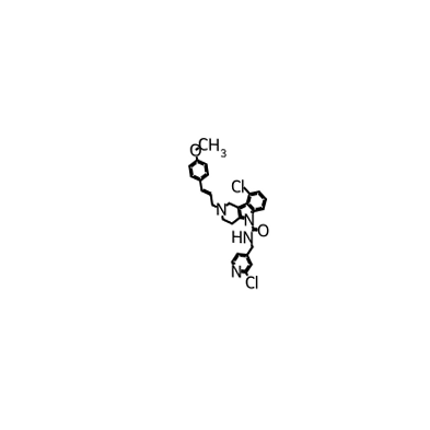 COc1ccc(C=CCN2CCc3c(c4c(Cl)cccc4n3C(=O)NCc3ccnc(Cl)c3)C2)cc1